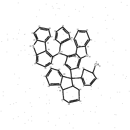 CC1C=CC=C(C2(c3cc(N(c4ccccc4)c4cccc5sc6ccccc6c45)c4c(c3)oc3ccccc34)c3ccccc3C3CC=CCC32)C1